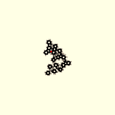 CC1(C)c2ccccc2-c2cc3c(oc4ccccc43)c(N3c4ccccc4B4c5ccccc5N(c5c6c(cc7c5oc5ccccc57)-c5cc(CC7(C)c8ccccc8-c8cc9c(cc87)oc7c(N8c%10ccccc%10B%10c%11ccccc%11N(c%11ccccc%11)c%11cccc8c%11%10)cccc79)ccc5C6(C)C)c5cccc3c54)c21